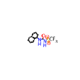 O=C(Nc1cccc2ccccc12)NS(=O)(=O)C(F)(F)F